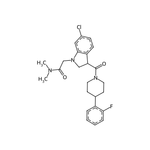 CN(C)C(=O)CN1CC(C(=O)N2CCC(c3ccccc3F)CC2)c2ccc(Cl)cc21